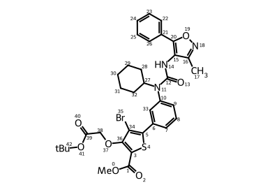 COC(=O)c1sc(-c2cccc(N(C(=O)Nc3c(C)noc3-c3ccccc3)C3CCCCC3)c2)c(Br)c1OCC(=O)OC(C)(C)C